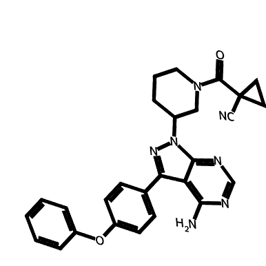 N#CC1(C(=O)N2CCCC(n3nc(-c4ccc(Oc5ccccc5)cc4)c4c(N)ncnc43)C2)CC1